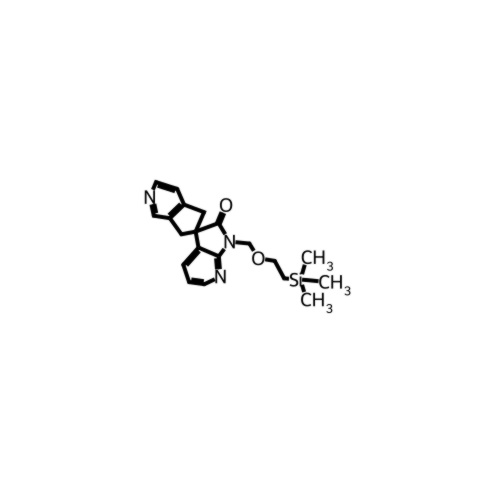 C[Si](C)(C)CCOCN1C(=O)C2(Cc3ccncc3C2)c2cccnc21